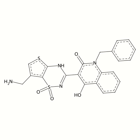 NCc1csc2c1S(=O)(=O)N=C(c1c(O)c3ccccc3n(Cc3ccccc3)c1=O)N2